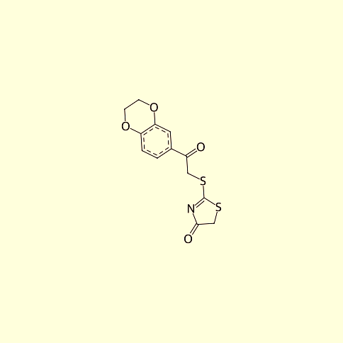 O=C1CSC(SCC(=O)c2ccc3c(c2)OCCO3)=N1